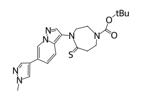 Cn1cc(-c2ccc3c(N4CCN(C(=O)OC(C)(C)C)CCC4=S)cnn3c2)cn1